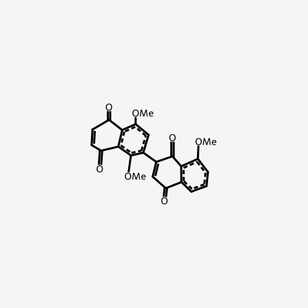 COc1cccc2c1C(=O)C(c1cc(OC)c3c(c1OC)C(=O)C=CC3=O)=CC2=O